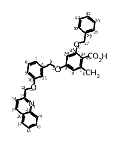 Cc1cc(OCc2cccc(OCc3ccc4ccccc4n3)c2)cc(OCc2ccccc2)c1C(=O)O